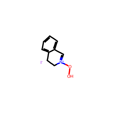 OO[N+]1=Cc2ccccc2CC1.[I-]